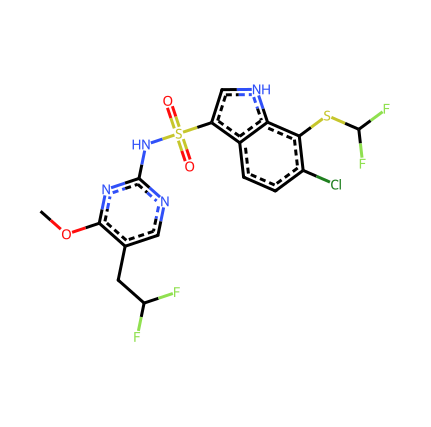 COc1nc(NS(=O)(=O)c2c[nH]c3c(SC(F)F)c(Cl)ccc23)ncc1CC(F)F